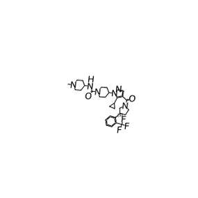 CN1CCC(NC(=O)N2CCC(n3ncc(C(=O)N4CC[C@@H](c5ccccc5C(F)(F)F)C4)c3C3CC3)CC2)CC1